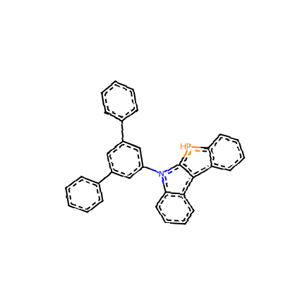 c1ccc(-c2cc(-c3ccccc3)cc(-n3c4ccccc4c4c5ccccc5[pH]c43)c2)cc1